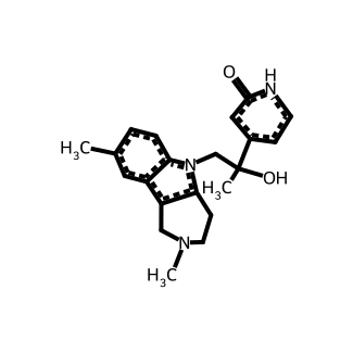 Cc1ccc2c(c1)c1c(n2CC(C)(O)c2cc[nH]c(=O)c2)CCN(C)C1